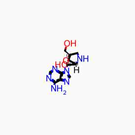 Nc1ncnc2c1ncn2[C@@H]1O[C@]2(CO)CN[C@@H]1C2O